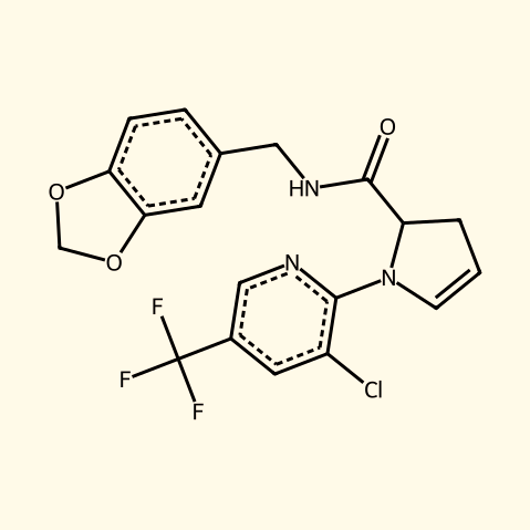 O=C(NCc1ccc2c(c1)OCO2)C1CC=CN1c1ncc(C(F)(F)F)cc1Cl